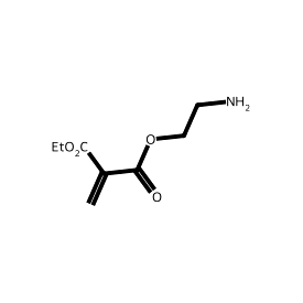 C=C(C(=O)OCC)C(=O)OCCN